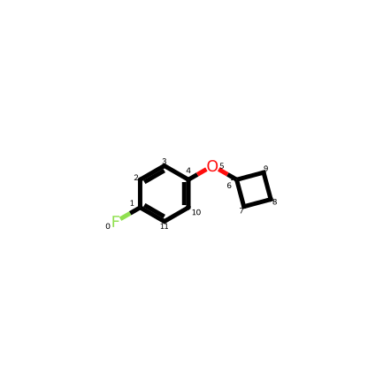 Fc1ccc(O[C]2CCC2)cc1